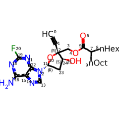 C#C[C@]1(COC(=O)C(CCCCCC)CCCCCCCC)O[C@@H](n2cnc3c(N)nc(F)nc32)C[C@@H]1O